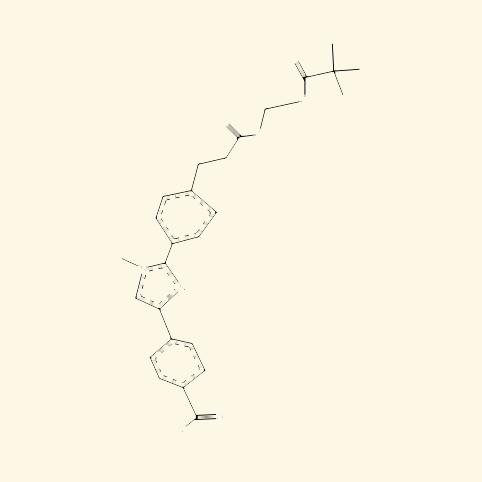 Cn1cc(-c2ccc(C(=N)N)cc2)nc1-c1ccc(CCC(=O)OCOC(=O)C(C)(C)C)cc1